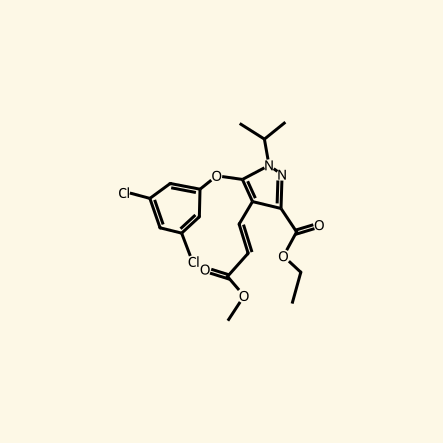 CCOC(=O)c1nn(C(C)C)c(Oc2cc(Cl)cc(Cl)c2)c1/C=C/C(=O)OC